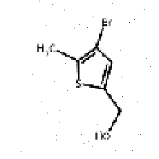 Cc1sc(CO)cc1Br